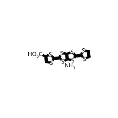 N.O=C(O)C1=CSC(=C2SC3=C(SC(=C4SC=CS4)S3)S2)S1